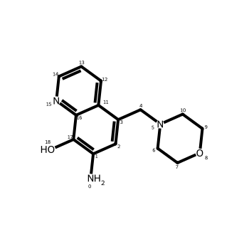 Nc1cc(CN2CCOCC2)c2cccnc2c1O